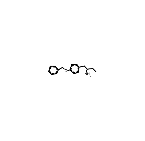 CCC(N)Cc1ccc(OCc2ccccc2)cc1